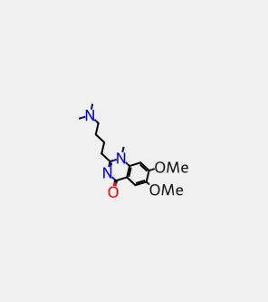 COc1cc2c(=O)nc(CCCCN(C)C)n(C)c2cc1OC